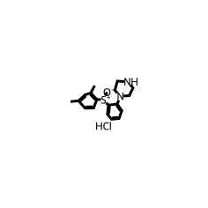 Cc1ccc([S+]([O-])c2ccccc2N2CCNCC2)c(C)c1.Cl